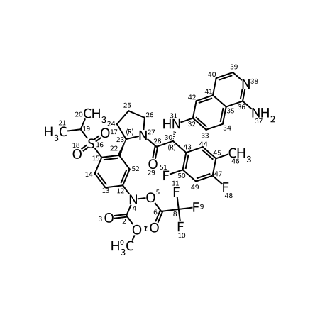 COC(=O)N(OC(=O)C(F)(F)F)c1ccc(S(=O)(=O)C(C)C)c([C@H]2CCCN2C(=O)[C@H](Nc2ccc3c(N)nccc3c2)c2cc(C)c(F)cc2F)c1